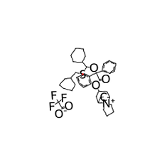 O=C(OC1CC2CCC(C1)[N+]21CCCC1)C(OC(SCC1CCCCC1)C1CCCCC1)(c1ccccc1)c1ccccc1.O=C([O-])C(F)(F)F